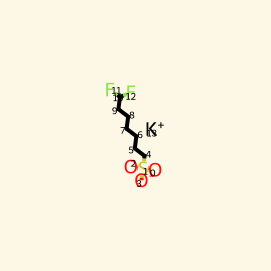 O=S(=O)([O-])CCCCCCC(F)F.[K+]